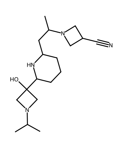 CC(C)N1CC(O)(C2CCCC(CC(C)N3CC(C#N)C3)N2)C1